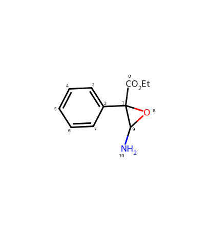 CCOC(=O)C1(c2ccccc2)OC1N